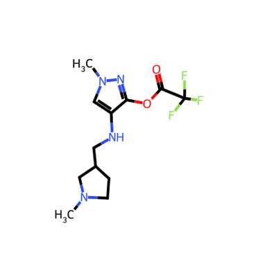 CN1CCC(CNc2cn(C)nc2OC(=O)C(F)(F)F)C1